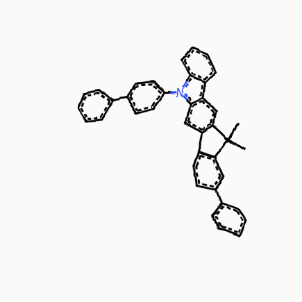 CC1(C)c2cc(-c3ccccc3)ccc2-c2cc3c(cc21)c1ccccc1n3-c1ccc(-c2ccccc2)cc1